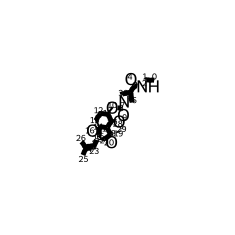 CCNC(=O)C1CN(C(=O)O[C@@H]2CC[C@]3(CO3)C([C@@]3(C)O[C@@H]3CC=C(C)C)[C@@H]2OC)C1